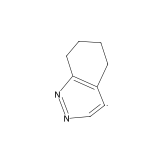 [c]1cnnc2c1CCCC2